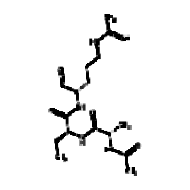 CC[C@H](NC(=O)[C@H](C)NC(C)=O)C(=O)N[C@H](C=O)CCCNC(=N)N